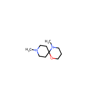 CN1CCC2(CC1)OCCCN2C